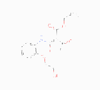 CCOC(=O)C1=C(Nc2ccccc2OCCO)OCC1=O